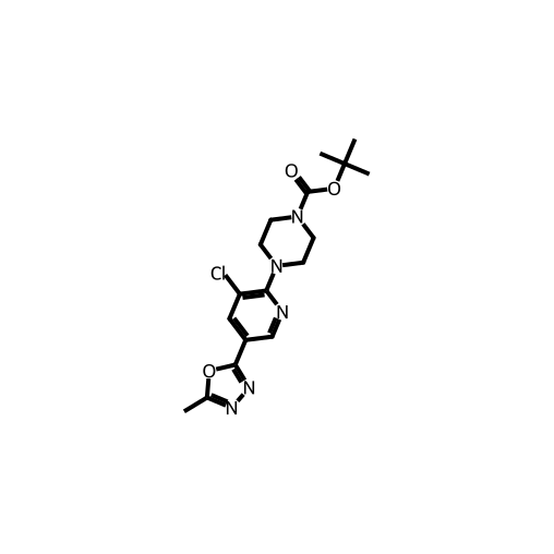 Cc1nnc(-c2cnc(N3CCN(C(=O)OC(C)(C)C)CC3)c(Cl)c2)o1